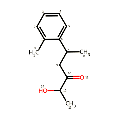 Cc1ccccc1C(C)CC(=O)C(C)O